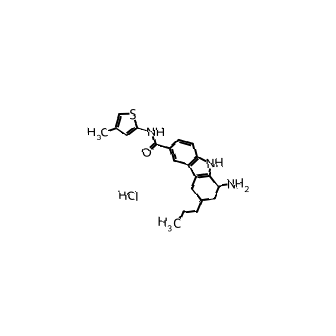 CCCC1Cc2c([nH]c3ccc(C(=O)Nc4cc(C)cs4)cc23)C(N)C1.Cl